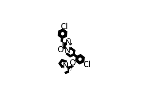 CC[C@H](COc1cc(Cl)ccc1C1CCN(C(=O)[C@@H](Cc2ccc(Cl)cc2)N(C)C)CC1)N1CCCC1